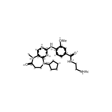 COc1cc(C(=O)NCCNC(C)=O)ccc1Nc1ncc2c(n1)N(C1CCCC1)CCC(=O)N2C